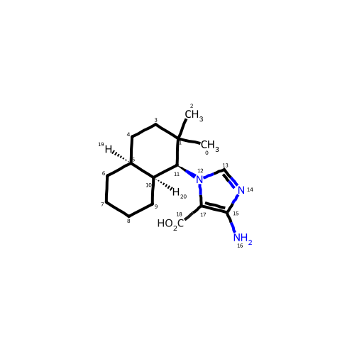 CC1(C)CC[C@@H]2CCCC[C@@H]2[C@@H]1n1cnc(N)c1C(=O)O